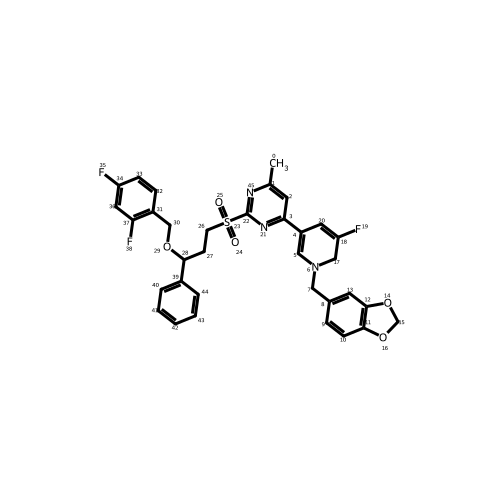 Cc1cc(C2=CN(Cc3ccc4c(c3)OCO4)CC(F)=C2)nc(S(=O)(=O)CCC(OCc2ccc(F)cc2F)c2ccccc2)n1